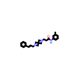 Cc1cccc(NC(=O)CCN2CC3(CN(CC=Cc4ccccc4)C3)C2)c1